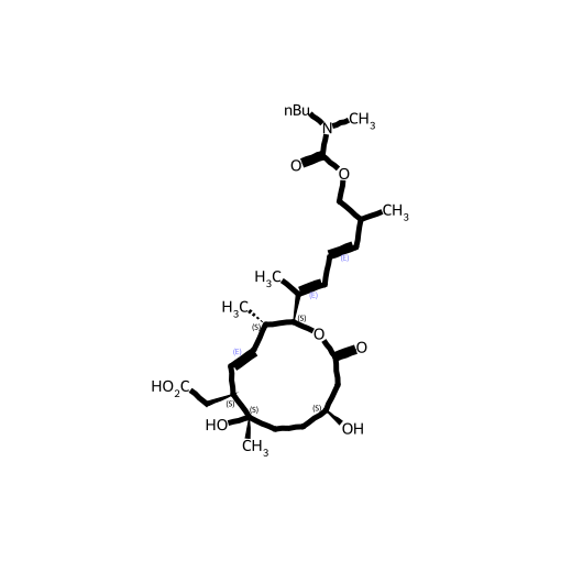 CCCCN(C)C(=O)OCC(C)/C=C/C=C(\C)[C@H]1OC(=O)C[C@@H](O)CC[C@](C)(O)[C@@H](CC(=O)O)/C=C/[C@@H]1C